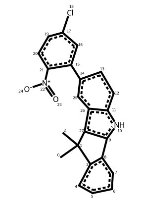 CC1(C)c2ccccc2-c2[nH]c3ccc(-c4cc(Cl)ccc4[N+](=O)[O-])cc3c21